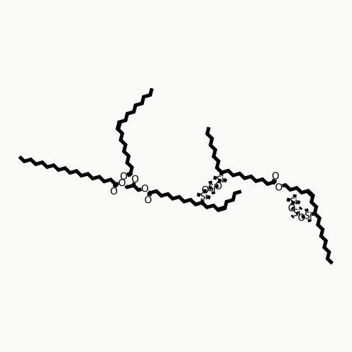 CCCC/C=C\CCC(CCCCCCCCC(=O)OCC(COC(=O)CCCCCCCCCCCCCCCCC)OC(=O)CCCCCCC/C=C\CCCCCCCC)[Si](C)(C)O[Si](C)(C)O[Si](C)(C)C(CCCCCCCC)CCCCCCCCC(=O)OCCCC/C=C\CCC(CCCCCCCCC)[Si](C)(C)O[Si](C)(C)O[Si](C)(C)C